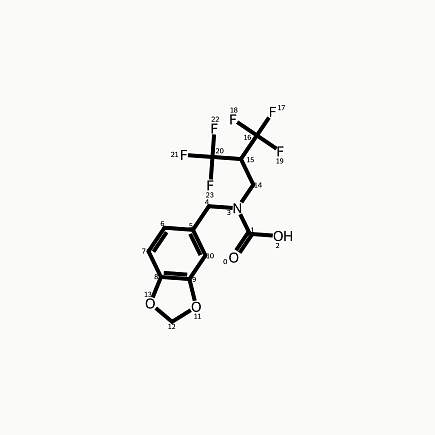 O=C(O)N(Cc1ccc2c(c1)OCO2)CC(C(F)(F)F)C(F)(F)F